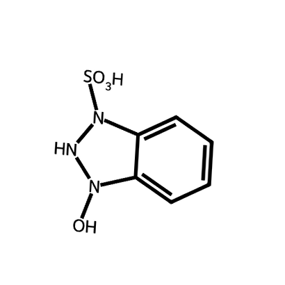 O=S(=O)(O)N1NN(O)c2ccccc21